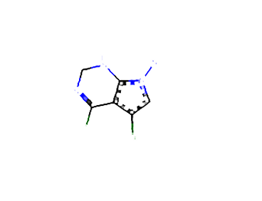 Nn1cc(Br)c2c1NCN=C2Cl